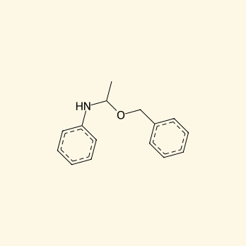 CC(Nc1ccccc1)OCc1ccccc1